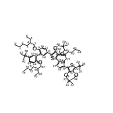 CCCCC(CC)COc1ccc(-c2sc(-c3ccc(-c4sc(C(C)(C)C)c5c4OCC(C)(C)CO5)n3CC(CC)CCCC)c3c2OCC(C)(C)CO3)cc1-c1cc(C(C)(C)C)ccc1OCC(CC)CCCC